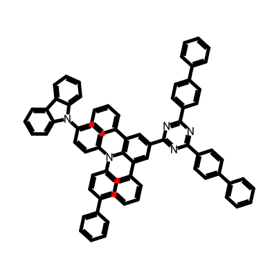 c1ccc(-c2ccc(-c3nc(-c4ccc(-c5ccccc5)cc4)nc(-c4cc(-c5ccccc5)c(N(c5ccc(-c6ccccc6)cc5)c5ccc(-n6c7ccccc7c7ccccc76)cc5)c(-c5ccccc5)c4)n3)cc2)cc1